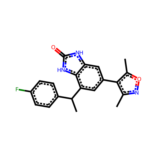 Cc1noc(C)c1-c1cc(C(C)c2ccc(F)cc2)c2[nH]c(=O)[nH]c2c1